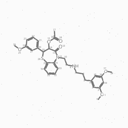 COc1cc(CCCNCCN2C(=O)C(OC(C)=O)C(c3cccc(OC)c3)Sc3ccccc32)cc(OC)c1